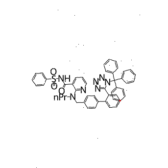 CCCN(Cc1ccc(-c2ccccc2-c2nnnn2C(c2ccccc2)(c2ccccc2)c2ccccc2)cc1)c1ncccc1C(=O)NS(=O)(=O)c1ccccc1